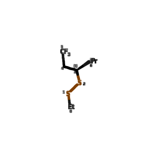 CCSS[C@@H](CC(F)(F)F)C(C)C